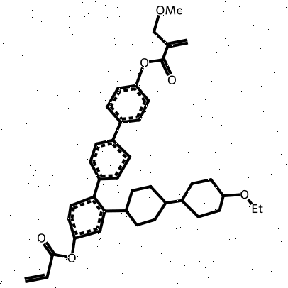 C=CC(=O)Oc1ccc(-c2ccc(-c3ccc(OC(=O)C(=C)COC)cc3)cc2)c(C2CCC(C3CCC(OCC)CC3)CC2)c1